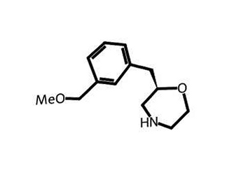 COCc1cccc(C[C@@H]2CNCCO2)c1